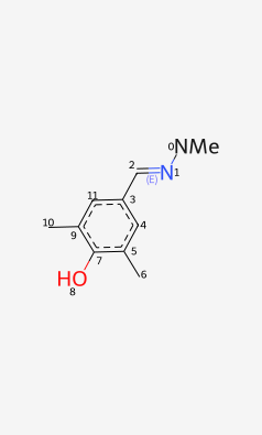 CN/N=C/c1cc(C)c(O)c(C)c1